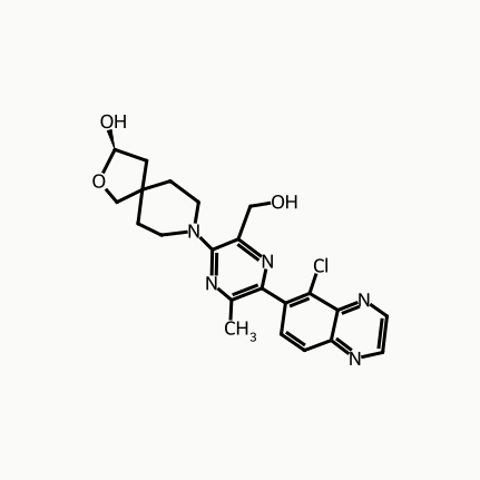 Cc1nc(N2CCC3(CC2)CO[C@@H](O)C3)c(CO)nc1-c1ccc2nccnc2c1Cl